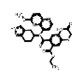 CCOC(=O)c1cc2c(cc1C(=O)N(c1ccnc3ccc(OC)nc13)C1CCc3n[nH]cc3C1)NC(=O)CS2